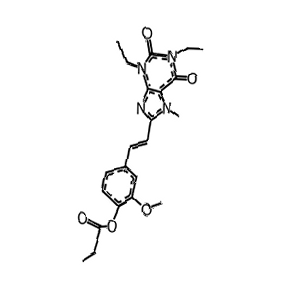 CCC(=O)Oc1ccc(/C=C/c2nc3c(c(=O)n(CC)c(=O)n3CC)n2C)cc1OC